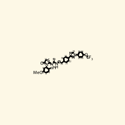 CCCc1ccc(OC)cc1N1C(=O)CS/C1=N\C(=S)NOCc1ccc(-c2ncn(-c3ccc(OC(F)(F)F)cc3)n2)cc1